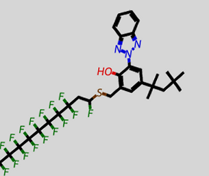 CC(C)(C)CC(C)(C)c1cc(CSC(F)CC(F)(F)C(F)(F)C(F)(F)C(F)(F)C(F)(F)C(F)(F)C(F)(F)C(F)(F)F)c(O)c(-n2nc3ccccc3n2)c1